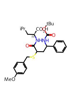 COc1ccc(CSC(CC(NC(=O)OC(C)(C)C)c2ccccc2)C(=O)N[C@@H](CC(C)C)C(=O)O)cc1